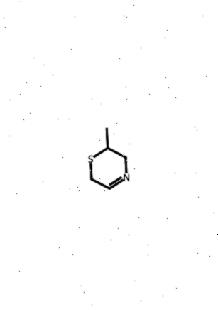 CC1CN=CCS1